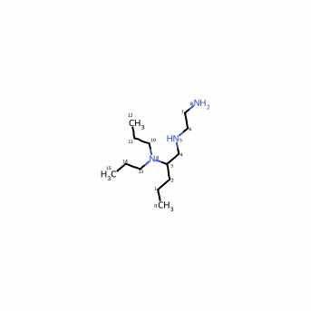 CCCC(CNCCN)N(CCC)CCC